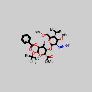 CCCCOCC1O[C@H](O[C@H]2C(I)C(OC(=O)c3ccccc3)[C@H](OC(C)(CC)CC)O[C@H]2C(=O)OC)[C@@H](N=[N+]=[N-])C(OCCCC)[C@@H]1C(CC)CC